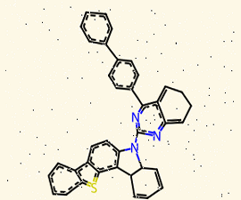 C1=CC2c3c(ccc4c3sc3ccccc34)N(c3nc(-c4ccc(-c5ccccc5)cc4)c4c(n3)=CCCC=4)C2C=C1